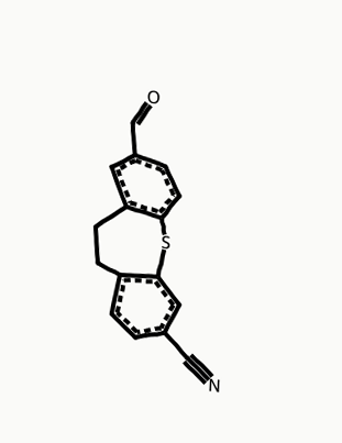 N#Cc1ccc2c(c1)Sc1ccc(C=O)cc1CC2